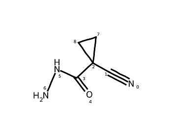 N#CC1(C(=O)NN)CC1